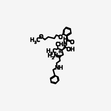 COCCCCOc1ccccc1C(=O)NC(O)[C@@H](C[C@H](N)CCNCc1ccccc1)C(C)C